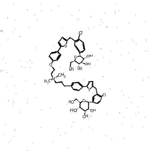 C[N+](C)(CCCc1ccc(-c2ccc(Cc3cc([C@@H]4O[C@H](CO)[C@@H](O)[C@H](O)[C@H]4O)ccc3Cl)s2)cc1)CCOc1ccc(-c2ccc(Cc3cc([C@@H]4O[C@H](CO)[C@@H](O)[C@H](O)[C@H]4O)ccc3Cl)s2)cc1